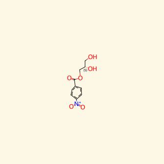 O=C(OC[C@@H](O)CO)c1ccc([N+](=O)[O-])cc1